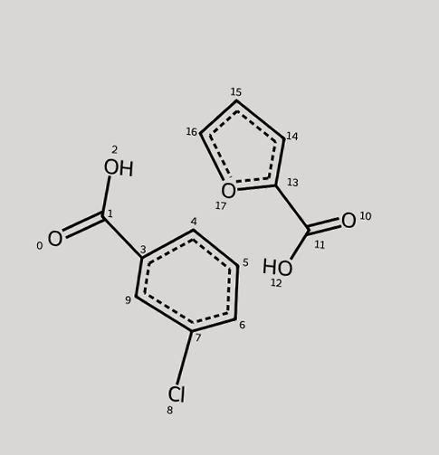 O=C(O)c1cccc(Cl)c1.O=C(O)c1ccco1